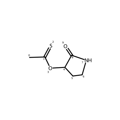 CC(=S)OC1CCNC1=O